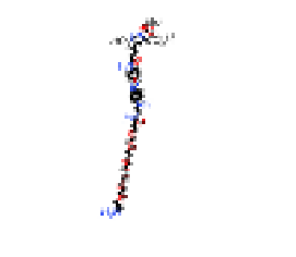 CC(C)(C)OC(=O)N[C@@H](C[C@H](CCCC(=O)Nc1ccc(/N=N/c2ccc(NCCNC(=O)CCOCCOCCOCCOCCOCCOCCN)cc2)cc1)C(=O)O)C(=O)O